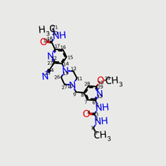 CCNC(=O)Nc1cc(CN2CCN(c3ccc(C(=O)NC)nc3C#N)CC2)cc(OC)n1